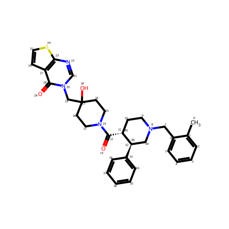 Cc1ccccc1CN1CC[C@@H](C(=O)N2CCC(O)(Cn3cnc4sccc4c3=O)CC2)[C@H](c2ccccc2)C1